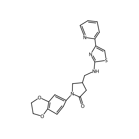 O=C1CC(CNc2nc(-c3ccccn3)cs2)CN1c1ccc2c(c1)OCCO2